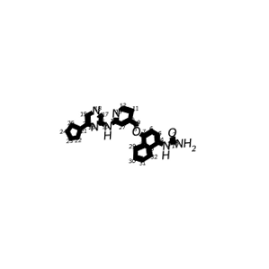 NC(=O)Nc1ccc(OCc2ccnc(Nc3cncc(C4CCCC4)n3)c2)c2ccccc12